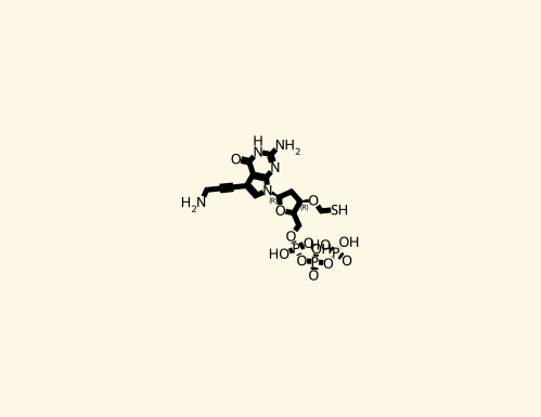 NCC#Cc1cn([C@H]2C[C@@H](OCS)C(COP(=O)(O)OP(=O)(O)OP(=O)(O)O)O2)c2nc(N)[nH]c(=O)c12